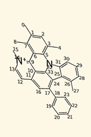 Cc1cc(C)c2c(c1C)c1c3c(cc[n+]1C)cc(-c1ccccc1)c1c4c(C)cccc4n2c13